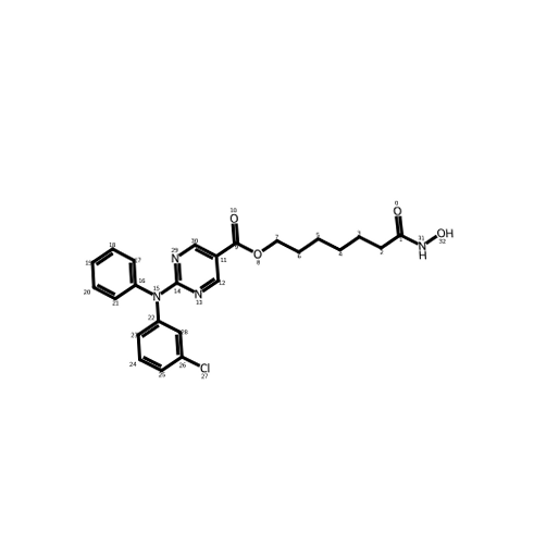 O=C(CCCCCCOC(=O)c1cnc(N(c2ccccc2)c2cccc(Cl)c2)nc1)NO